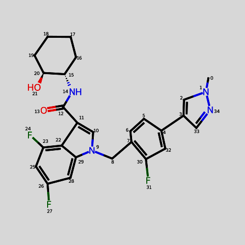 Cn1cc(-c2ccc(Cn3cc(C(=O)N[C@H]4CCCC[C@@H]4O)c4c(F)cc(F)cc43)c(F)c2)cn1